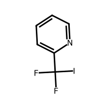 FC(F)(I)c1ccccn1